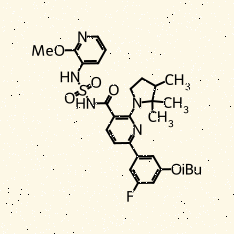 COc1ncccc1NS(=O)(=O)NC(=O)c1ccc(-c2cc(F)cc(OCC(C)C)c2)nc1N1CCC(C)C1(C)C